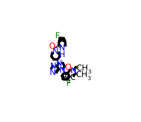 CCN(C(=O)c1cc(F)ccc1N1CCN(C2CCCN(C(=O)[C@H]3NCC4CC3[C@@H](F)C4)CC2)c2ncncc21)C(C)C